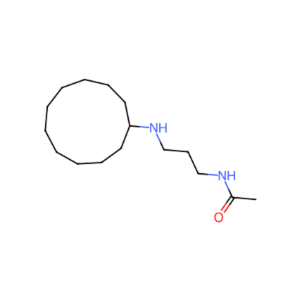 CC(=O)NCCCNC1CCCCCCCCCC1